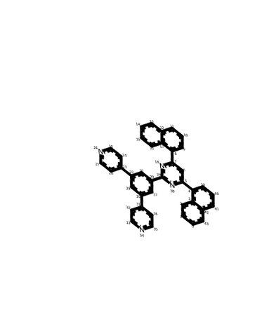 c1ccc2c(-c3cc(-c4cccc5ccccc45)nc(-c4cc(-c5ccncc5)cc(-c5ccncc5)c4)n3)cccc2c1